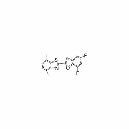 Cc1ccc(C)c2sc(-c3cc4cc(F)cc(F)c4o3)nc12